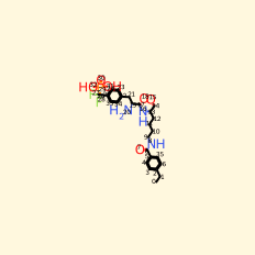 CCc1ccc(C(=O)NCCCCC(C=O)NC(=O)C(N)Cc2ccc(C(F)(F)P(=O)(O)O)cc2)cc1